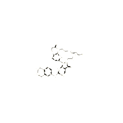 CCCCSCCN1C(=O)COc2ccc(-n3c4nc(Nc5ccc6c(c5)CNCC6)ncc4c(=O)n3CCC)nc21